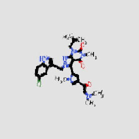 CC(C)Cn1c(=O)n(C)c(=O)c2c(C3CC(C(=O)CN(C)C)=CN3C)n(Cc3c[nH]c4ccc(Cl)cc34)nc21